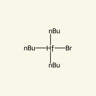 CCC[CH2][Hf]([Br])([CH2]CCC)[CH2]CCC